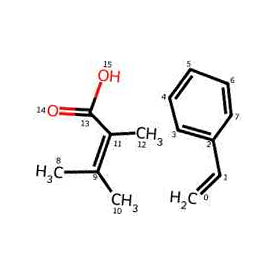 C=Cc1ccccc1.CC(C)=C(C)C(=O)O